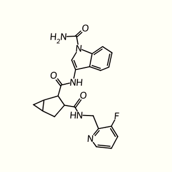 NC(=O)n1cc(NC(=O)C2C(C(=O)NCc3ncccc3F)CC3CC32)c2ccccc21